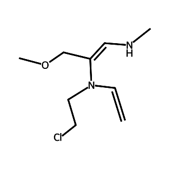 C=CN(CCCl)/C(=C\NC)COC